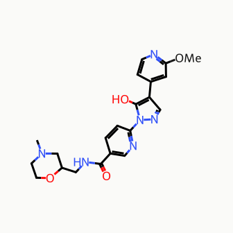 COc1cc(-c2cnn(-c3ccc(C(=O)NCC4CN(C)CCO4)cn3)c2O)ccn1